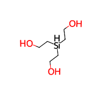 OCC[SiH](CCO)CCO